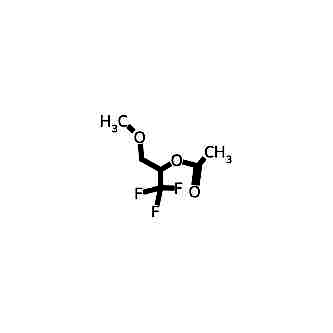 COCC(OC(C)=O)C(F)(F)F